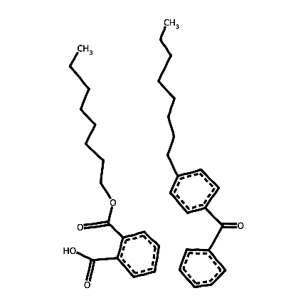 CCCCCCCCOC(=O)c1ccccc1C(=O)O.CCCCCCCCc1ccc(C(=O)c2ccccc2)cc1